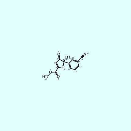 COC(=O)C1=CC(=O)C(C)(c2cccc(C#N)c2)O1